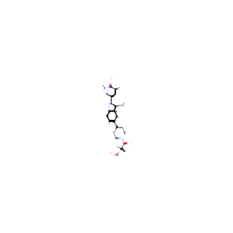 Cc1cc(-c2[nH]c3ccc(C4CCN(C(=O)C(C)(C)CO)CC4)cc3c2C(C)C)cn(C)c1=O